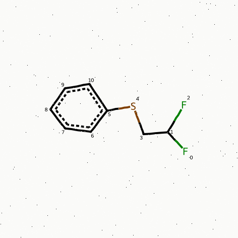 FC(F)CSc1ccccc1